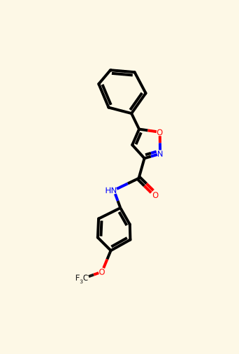 O=C(Nc1ccc(OC(F)(F)F)cc1)c1cc(-c2ccccc2)on1